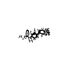 CC(=O)Nc1ccc(-c2ccc(OC(F)(F)F)cc2)cc1